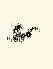 C=CCOc1cccc(C2CC[C@@H](OC[C@H]3[C@@H](NS(C)(=O)=O)CCCN3C(=O)OC(C)(C)C)C2)c1